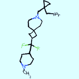 CC(C)CC1(CN2CCC3(CC2)CC(C(F)(F)C2CCN(C)CC2)C3)CC1